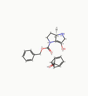 O=C(OCc1ccccc1)N1CC[C@H]2NCC(O)=C21.O=C1C2=CC=C1C=C2